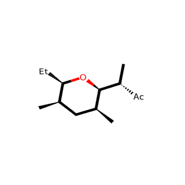 CC[C@H]1O[C@@H]([C@H](C)C(C)=O)[C@@H](C)C[C@H]1C